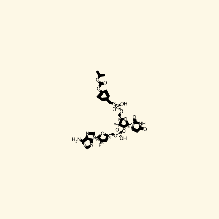 CC(C)OC(=O)Oc1ccc(CSP(=O)(O)OC[C@H]2O[C@@H](n3ccc(=O)[nH]c3=O)[C@H](OP(=O)(O)OC[C@@H]3C[C@@H](F)[C@H](n4cnc5c(N)ncnc54)O3)[C@@H]2F)cc1